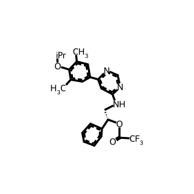 Cc1cc(-c2cc(NC[C@H](OC(=O)C(F)(F)F)c3ccccc3)ncn2)cc(C)c1OC(C)C